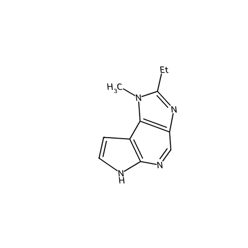 CCc1nc2cnc3[nH]ccc3c2n1C